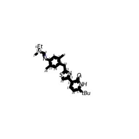 CCN(C)/C=N/c1cc(C)c(Cc2nc(-c3ccc(C(C)(C)C)[nH]c3=O)cs2)cc1C